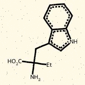 CCC(N)(Cc1c[nH]c2ccccc12)C(=O)O